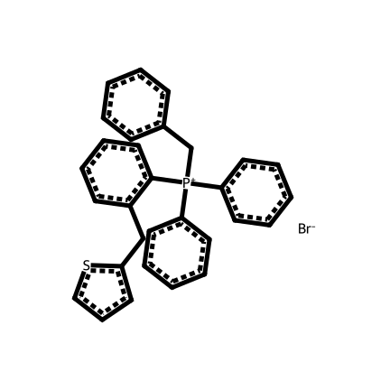 [Br-].c1ccc(C[P+](c2ccccc2)(c2ccccc2)c2ccccc2Cc2cccs2)cc1